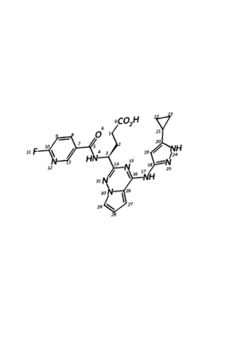 O=C(O)CC[C@H](NC(=O)c1ccc(F)nc1)c1nc(Nc2cc(C3CC3)[nH]n2)c2cccn2n1